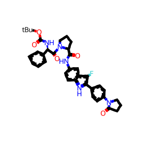 CC(C)(C)OC(=O)N[C@@H](C(=O)N1CCCC1C(=O)Nc1ccc2[nH]c(-c3ccc(N4CCCC4=O)cc3)c(F)c2c1)c1ccccc1